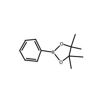 CC1(C)OB(c2c[c]ccc2)OC1(C)C